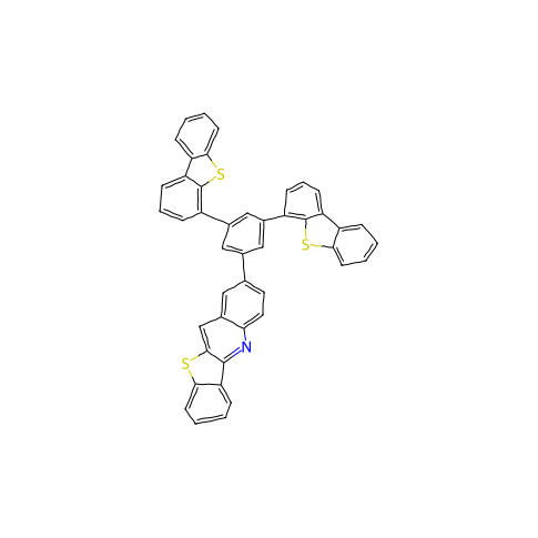 c1ccc2c(c1)sc1c(-c3cc(-c4ccc5nc6c(cc5c4)sc4ccccc46)cc(-c4cccc5c4sc4ccccc45)c3)cccc12